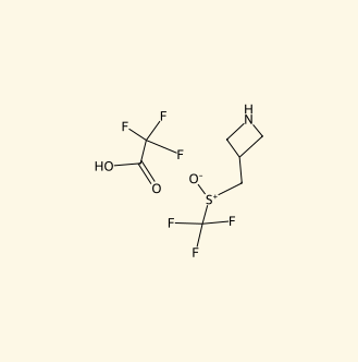 O=C(O)C(F)(F)F.[O-][S+](CC1CNC1)C(F)(F)F